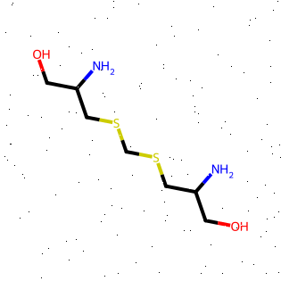 NC(CO)CSCSCC(N)CO